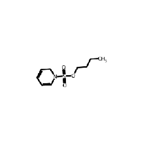 CCCCOS(=O)(=O)N1C=CC=CC1